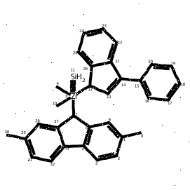 Cc1ccc2c(c1)[CH]([Zr]([CH3])([CH3])(=[SiH2])[CH]1C=C(c3ccccc3)c3ccccc31)c1cc(C)ccc1-2